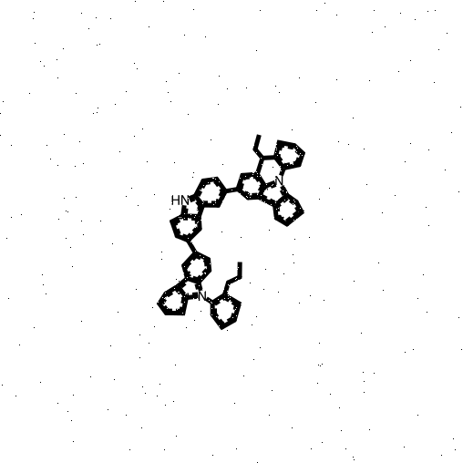 CCCc1ccccc1-n1c2ccccc2c2cc(-c3ccc4[nH]c5ccc(-c6cc7c8c(c6)c6ccccc6n8-c6ccccc6C7CC)cc5c4c3)ccc21